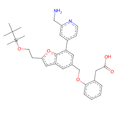 CC(C)(C)[Si](C)(C)OCCc1cc2cc(COc3ccccc3CC(=O)O)cc(-c3ccnc(CN)c3)c2o1